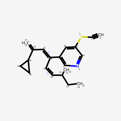 C#CSc1cncc(C(/C=C\C(C)CC)=C/C(=C)C2CC2)c1